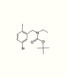 CCN(Cc1cc(Br)ccc1I)C(=O)OC(C)(C)C